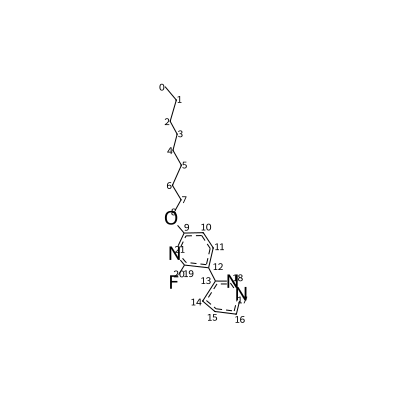 CCCCCCCCOc1ccc(-c2cccnn2)c(F)n1